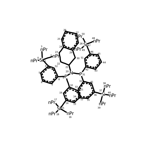 CCC[Si](CCC)(CCC)c1cccc(P(c2cccc([Si](CCC)(CCC)CCC)c2)N(C2CCc3ccccc3C2)P(c2cccc([Si](CCC)(CCC)CCC)c2)c2cccc([Si](CCC)(CCC)CCC)c2)c1